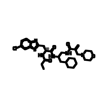 C=C(CN1CCOCC1)C(=O)NCC(CC1CCCCC1)NC(=O)[C@H](Cc1nc2ccc(Cl)cc2s1)NC(=O)CC